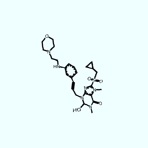 CN1C(=O)c2c(nc(S(=O)(=O)CC3CC3)n2C)N(CC#Cc2cccc(NCCN3CCOCC3)c2)C1O